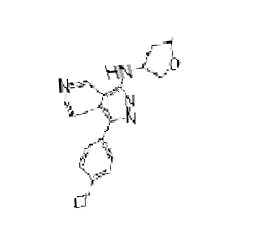 Clc1ccc(-c2nnc(NC3CCOC3)c3cnccc23)cc1